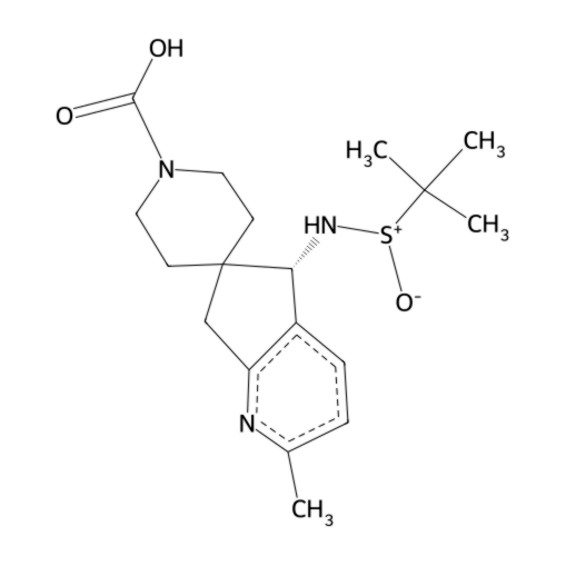 Cc1ccc2c(n1)CC1(CCN(C(=O)O)CC1)[C@@H]2N[S+]([O-])C(C)(C)C